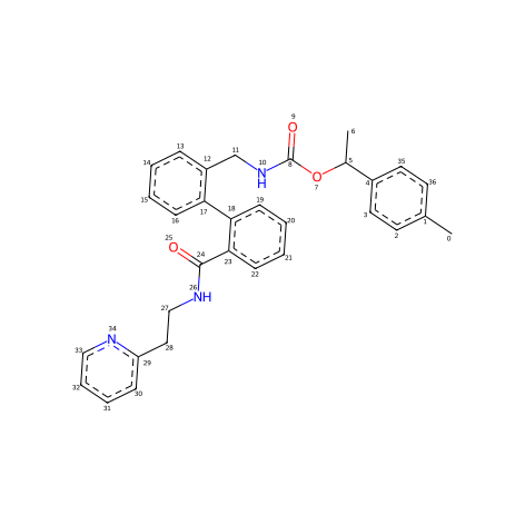 Cc1ccc(C(C)OC(=O)NCc2ccccc2-c2ccccc2C(=O)NCCc2ccccn2)cc1